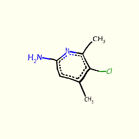 Cc1cc(N)nc(C)c1Cl